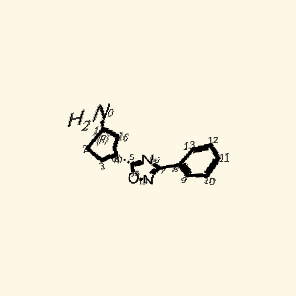 N[C@@H]1CC[C@@H](c2nc(-c3ccccc3)no2)C1